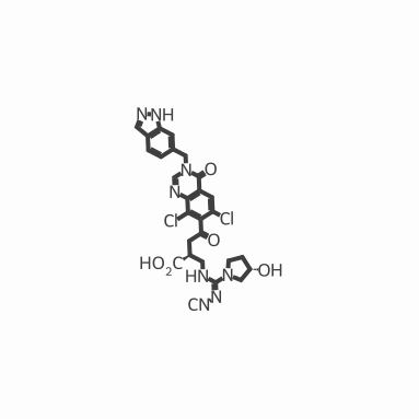 [C-]#[N+]/N=C(\NC[C@H](CC(=O)c1c(Cl)cc2c(=O)n(Cc3ccc4cn[nH]c4c3)cnc2c1Cl)C(=O)O)N1CC[C@H](O)C1